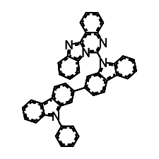 c1ccc(-n2c3ccccc3c3ccc(-c4ccc5c6ccccc6n(-c6nc7ccccc7c7nc8ccccc8n67)c5c4)cc32)cc1